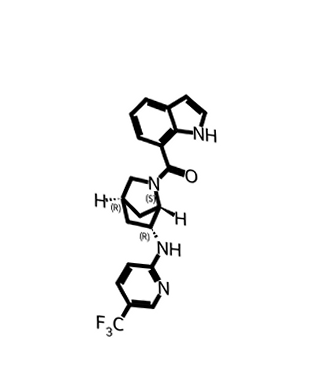 O=C(c1cccc2cc[nH]c12)N1C[C@@H]2C[C@@H](Nc3ccc(C(F)(F)F)cn3)[C@@H]1C2